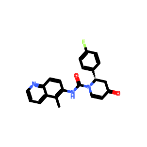 Cc1c(NC(=O)N2C=CC(=O)C[C@H]2c2ccc(F)cc2)ccc2ncccc12